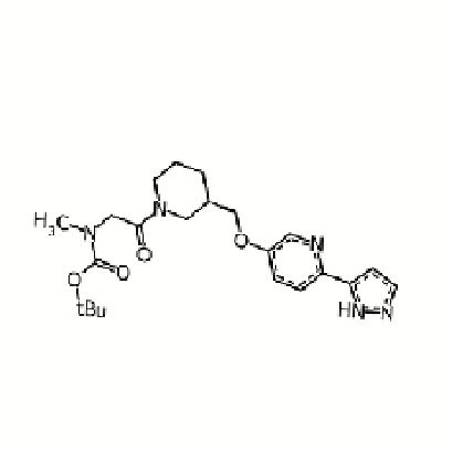 CN(CC(=O)N1CCC[C@@H](COc2ccc(-c3ccn[nH]3)nc2)C1)C(=O)OC(C)(C)C